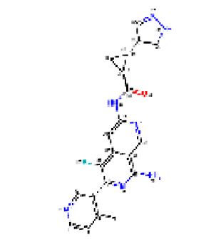 Cc1ccncc1-c1nc(N)c2cnc(NC(=O)[C@H]3C[C@@H]3C3C=NNC3)cc2c1F